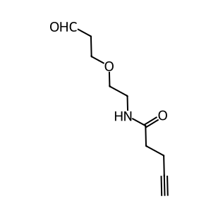 C#CCCC(=O)NCCOCCC=O